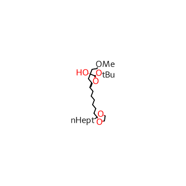 CCCCCCCC1(CCCCCC/C=C/C[C@@](O)(CCOC)C(=O)OC(C)(C)C)OCCO1